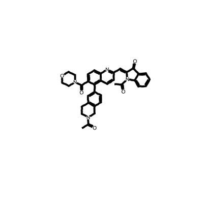 CC(=O)N1CCc2cc(-c3c(C(=O)N4CCOCC4)ccc4nc(/C=C5/C(=O)c6ccccc6N5C(C)=O)ccc34)ccc2C1